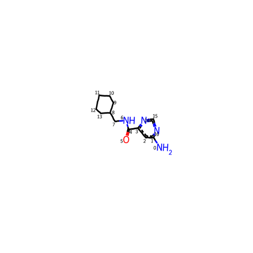 Nc1cc(C(=O)NCC2CCCCC2)ncn1